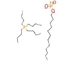 CCCCCCCCCCCCO[PH](=O)[O-].CCCC[P+](CCCC)(CCCC)CCCC